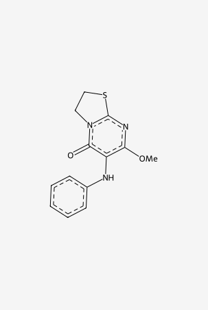 COc1nc2n(c(=O)c1Nc1ccccc1)CCS2